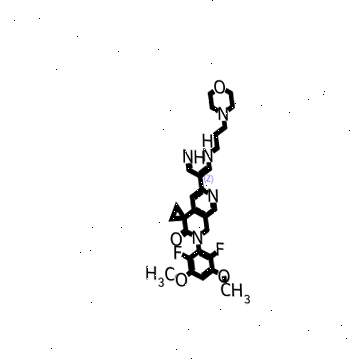 COc1cc(OC)c(F)c(N2Cc3cnc(/C(C=N)=C/NCCCN4CCOCC4)cc3C3(CC3)C2=O)c1F